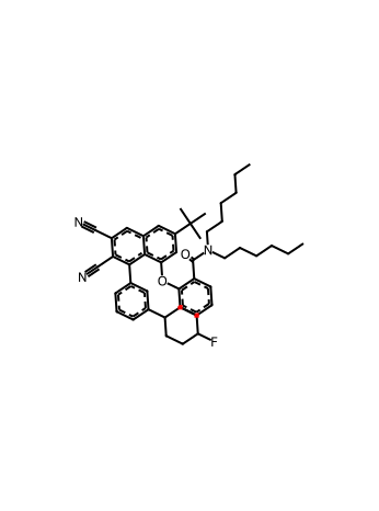 CCCCCCN(CCCCCC)C(=O)c1ccccc1Oc1cc(C(C)(C)C)cc2cc(C#N)c(C#N)c(-c3cccc(C4CCC(F)CC4)c3)c12